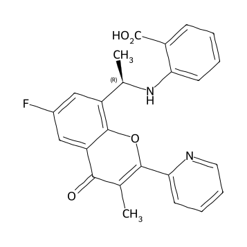 Cc1c(-c2ccccn2)oc2c([C@@H](C)Nc3ccccc3C(=O)O)cc(F)cc2c1=O